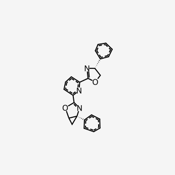 c1ccc([C@@H]2COC(c3cccc(C4=N[C@@]5(c6ccccc6)CC5O4)n3)=N2)cc1